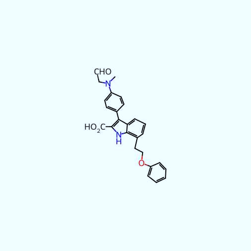 CN(CC=O)c1ccc(-c2c(C(=O)O)[nH]c3c(CCOc4ccccc4)cccc23)cc1